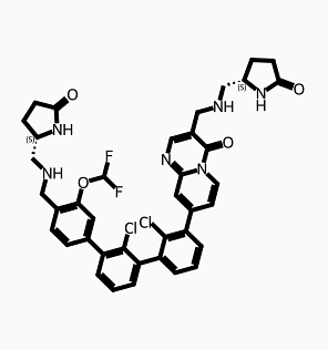 O=C1CC[C@@H](CNCc2ccc(-c3cccc(-c4cccc(-c5ccn6c(=O)c(CNC[C@@H]7CCC(=O)N7)cnc6c5)c4Cl)c3Cl)cc2OC(F)F)N1